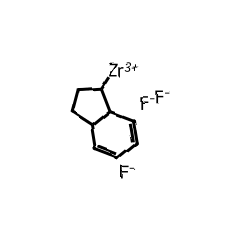 [F-].[F-].[F-].[Zr+3][CH]1CCC2C=CC=CC12